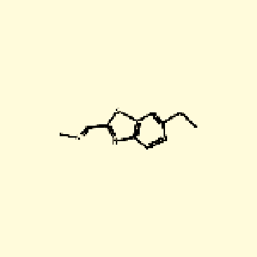 CCc1ccc2nc(/C=N/C)sc2c1